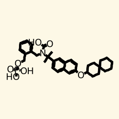 CC(C)(c1ccc2cc(OC3CCC4(CCCCC4)CC3)ccc2c1)N(Cc1ccccc1COP(=O)(O)O)C(=O)O